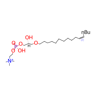 CCCC/C=C\CCCCCCCCCCOC[C@@H](O)COP(=O)(O)OCC[N+](C)(C)C